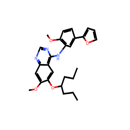 CCCC(CCC)Oc1cc2c(Nc3cc(-c4ccco4)ccc3OC)ncnc2cc1OC